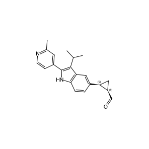 Cc1cc(-c2[nH]c3ccc([C@H]4C[C@H]4C=O)cc3c2C(C)C)ccn1